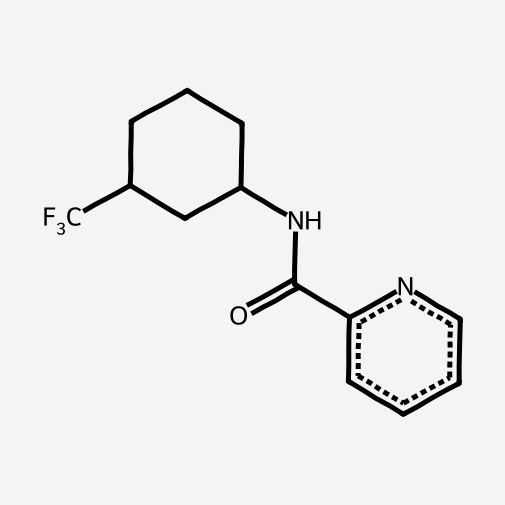 O=C(NC1CCCC(C(F)(F)F)C1)c1ccccn1